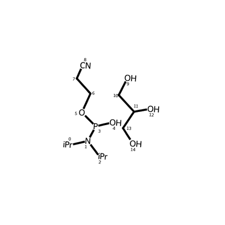 CC(C)N(C(C)C)P(O)OCCC#N.OCC(O)CO